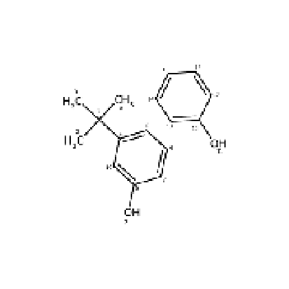 CC(C)(C)c1cccc(O)c1.Oc1ccccc1